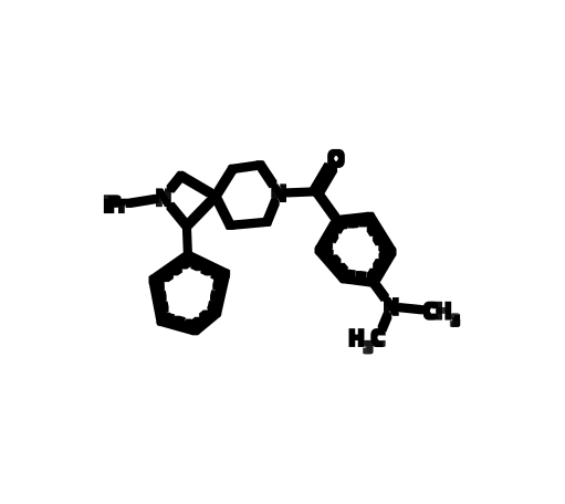 CC(C)N1CC2(CCN(C(=O)c3ccc(N(C)C)cc3)CC2)C1c1ccccc1